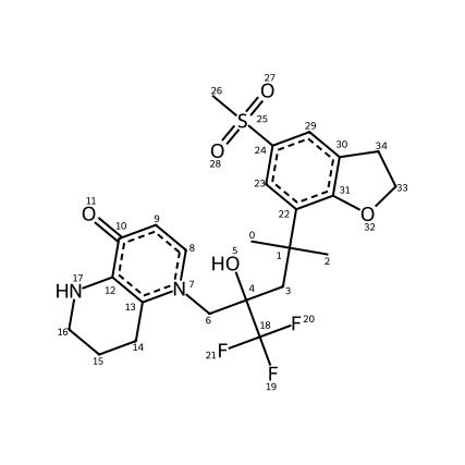 CC(C)(CC(O)(Cn1ccc(=O)c2c1CCCN2)C(F)(F)F)c1cc(S(C)(=O)=O)cc2c1OCC2